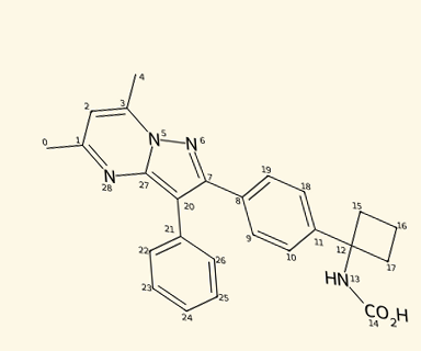 Cc1cc(C)n2nc(-c3ccc(C4(NC(=O)O)CCC4)cc3)c(-c3ccccc3)c2n1